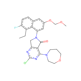 CCc1c(F)ccc2cc(OCOC)cc(N3Cc4nc(Cl)nc(N5CCCOCC5)c4C3=O)c12